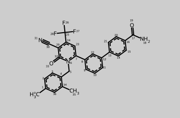 Cc1ccc(Cn2c(-c3cccc(-c4ccc(C(N)=O)cc4)c3)cc(C(F)(F)F)c(C#N)c2=O)c(C)c1